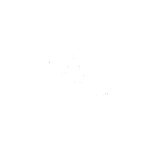 COc1cccc(-c2nc3c4c(C)cccc4nc(NC4CCNC4=O)n3n2)c1